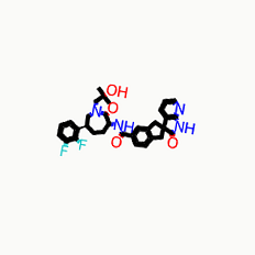 CC(C)(O)CN1C[C@H](c2cccc(F)c2F)CCC(NC(=O)c2ccc3c(c2)CC2(C3)C(=O)Nc3ncccc32)C1=O